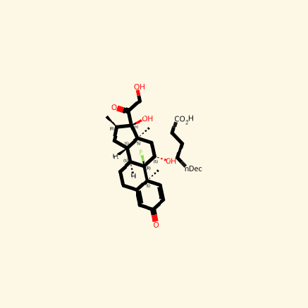 CCCCCCCCCCCCCC(=O)O.C[C@@H]1C[C@H]2[C@@H]3CCC4=CC(=O)C=C[C@]4(C)[C@@]3(F)[C@@H](O)C[C@]2(C)[C@@]1(O)C(=O)CO